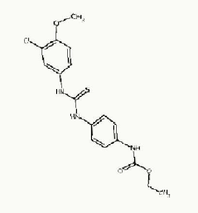 CCOC(=O)Nc1ccc(NC(=S)Nc2ccc(OC)c(Cl)c2)cc1